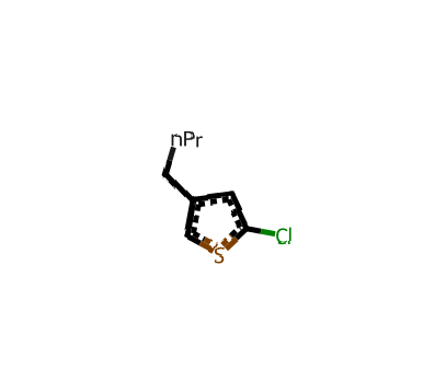 [CH2]CCCc1csc(Cl)c1